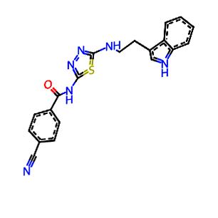 N#Cc1ccc(C(=O)Nc2nnc(NCCc3c[nH]c4ccccc34)s2)cc1